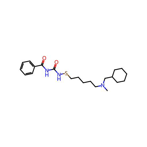 CN(CCCCCSNC(=O)NC(=O)c1ccccc1)CC1CCCCC1